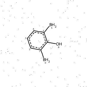 Bc1cccc(B)c1O